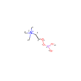 C[N+](C)(C)CCOO[I+2]([O-])[O-]